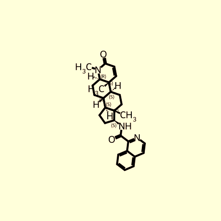 CN1C(=O)C=C[C@]2(C)[C@H]3CC[C@]4(C)[C@@H](NC(=O)c5nccc6ccccc56)CC[C@H]4[C@@H]3CC[C@@H]12